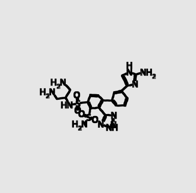 NCC(CN)NS(=O)(=O)c1ccc(-c2cccc(-c3c[nH]c(N)n3)c2)c(-c2nn[nH]n2)c1S(N)(=O)=O